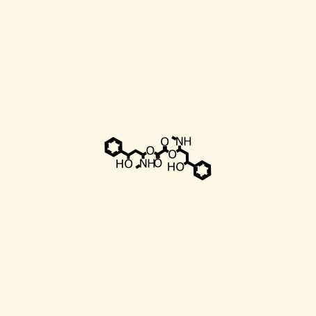 CNC(CC(O)c1ccccc1)OC(=O)C(=O)OC(CC(O)c1ccccc1)NC